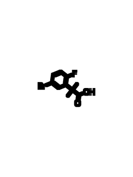 CC(C)(C(=O)O)c1cc(Br)ccc1F